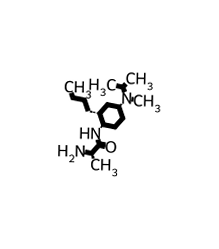 CCCC[C@@H]1C[C@H](N(C)C(C)C)CC[C@@H]1NC(=O)[C@@H](C)N